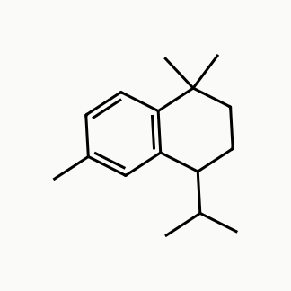 Cc1ccc2c(c1)C(C(C)C)CCC2(C)C